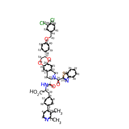 Cc1nccc(-c2ccc(C[C@H](NC(=O)[C@@H]3Cc4cc5c(cc4CN3C(=O)c3nc4ccccc4s3)O[C@@H](c3ccc(OCc4ccc(Cl)c(Cl)c4)cc3)CO5)C(=O)O)cc2)c1C